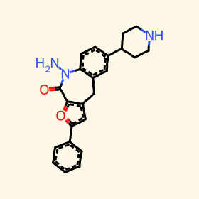 NN1C(=O)c2oc(-c3ccccc3)cc2Cc2cc(C3CCNCC3)ccc21